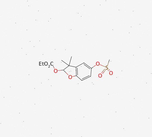 CCOC(=O)OC1Oc2ccc(OS(C)(=O)=O)cc2C1(C)C